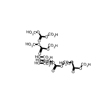 O=C(O)O.O=C(O)O.O=C(O)O.O=C(O)OC(=O)OC(=O)O.O=C(O)OC(=O)OC(=O)O.O=C(O)OC(=O)OC(=O)O.O=C(O)OC(=O)OC(=O)O